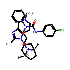 CCOC(=O)N1CCc2c(nc(C)n2[C@@H]2C[C@H]3CC[C@@H](C2)N3CCCN(C(=O)Nc2ccc(Cl)cc2)c2ccccc2)C1